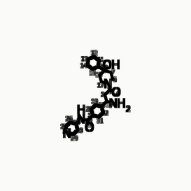 NC(CC(=O)N1CCC(O)(c2ccccc2)CC1)c1ccc(C(=O)Nc2ccncc2)cc1